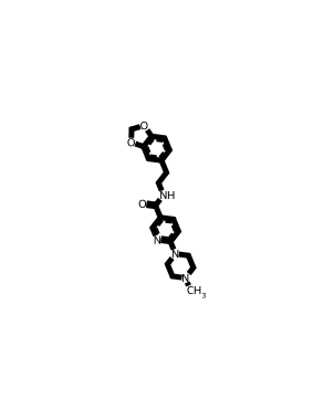 CN1CCN(c2ccc(C(=O)NCCc3ccc4c(c3)OCO4)cn2)CC1